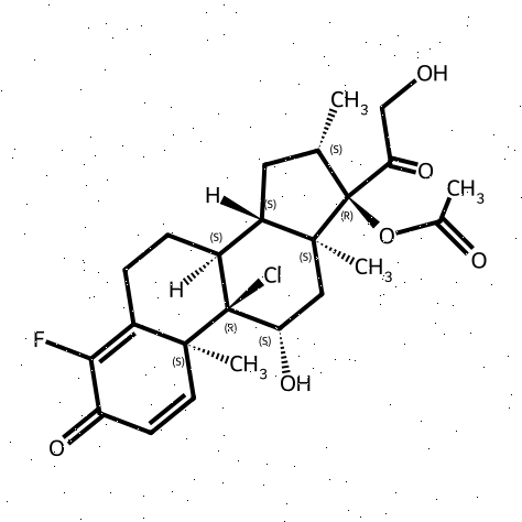 CC(=O)O[C@]1(C(=O)CO)[C@@H](C)C[C@H]2[C@@H]3CCC4=C(F)C(=O)C=C[C@]4(C)[C@@]3(Cl)[C@@H](O)C[C@@]21C